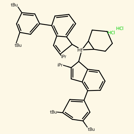 CC(C)C1=Cc2c(-c3cc(C(C)(C)C)cc(C(C)(C)C)c3)cccc2[CH]1[Hf]1([CH]2C(C(C)C)=Cc3c(-c4cc(C(C)(C)C)cc(C(C)(C)C)c4)cccc32)[CH]2CCCC[CH]21.Cl.Cl